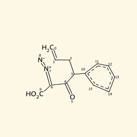 C=CCC(C(=O)C(=[N+]=[N-])C(=O)O)c1ccccc1